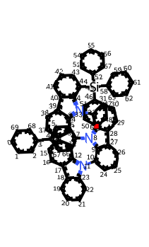 c1ccc(-c2ccc(-n3c4c(-n5c6ccccc6c6ccccc65)cccc4c4cccc(-n5c6ccccc6c6cccc([Si](c7ccccc7)(c7ccccc7)c7ccccc7)c65)c43)cc2)cc1